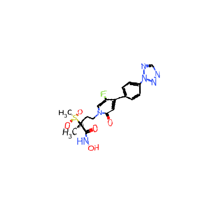 C[C@@](CCn1cc(F)c(-c2ccc(-n3ncnn3)cc2)cc1=O)(C(=O)NO)S(C)(=O)=O